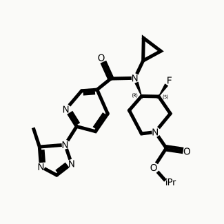 Cc1ncnn1-c1ccc(C(=O)N(C2CC2)[C@@H]2CCN(C(=O)OC(C)C)C[C@@H]2F)cn1